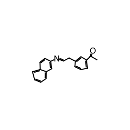 CC(=O)c1cccc(CC=Nc2ccc3ccccc3c2)c1